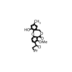 COc1c(C(Cl)CC(C)C)ccc2c1C(=O)OCc1cc(C)cc(O)c1O2